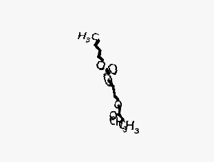 CCCCCCOC(=O)OCCCOCC(CC)OC